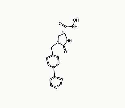 O=C(NO)[C@H]1CN(Cc2ccc(-c3ccncc3)cc2)C(=O)N1